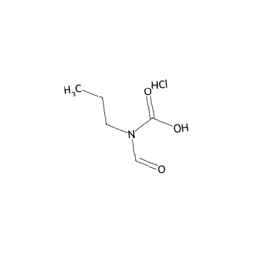 CCCN(C=O)C(=O)O.Cl